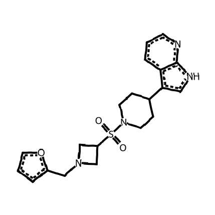 O=S(=O)(C1CN(Cc2ccco2)C1)N1CCC(c2c[nH]c3ncccc23)CC1